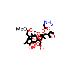 CCC12OC3(C)OC14C(C(C)(C)C(OC(=O)CN)c1ccoc1)CC(=O)OC4C1(O)C(O)C4(C)CC1(O3)C2(C)C4CC(=O)OC